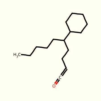 CCCCCC(CCC=C=O)C1CCCCC1